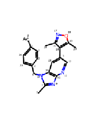 CC(=O)c1ccc(Cn2c(C)nc3ncc(-c4c(C)noc4C)cc32)cc1